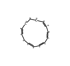 [C]1=CC=CC=CCC=CCCCC=C1